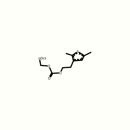 CCCCCCCCCOC(=O)OCCc1cc(C)sc1C